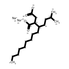 CCCCCCCCCC(CCC(C)C)C(CC(=O)[O-])C(=O)[O-].[Na+].[Na+]